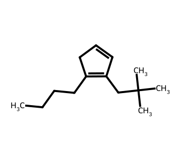 CCCCC1=C(CC(C)(C)C)C=CC1